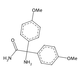 COc1ccc(C(N)(C(N)=O)c2ccc(OC)cc2)cc1